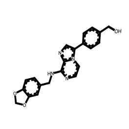 OCc1ccc(-c2cnc3c(NCc4ccc5c(c4)OCO5)nccn23)cc1